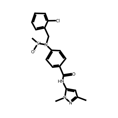 Cc1cc(NC(=O)c2ccc(N(Cc3ccccc3Cl)[S+](C)[O-])cc2)n(C)n1